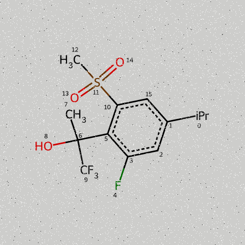 CC(C)c1cc(F)c(C(C)(O)C(F)(F)F)c(S(C)(=O)=O)c1